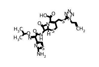 C=CCn1nnnc1SCC1=C(C(=O)O)N2C(=O)C(NC(=O)/C(=N\OC(C)C)c3csc(N)n3)[C@H]2SC1